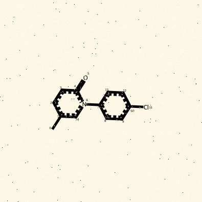 Cc1ccc(=O)n(-c2ccc(Cl)cc2)c1